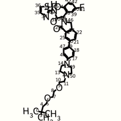 CC(C)(C)CCOCCOCCN1CCN(c2ccc(-c3ccc4c(c3)C(=O)N(C(C(=O)Nc3nccs3)c3cc(F)ccc3O)C4)cc2)CC1